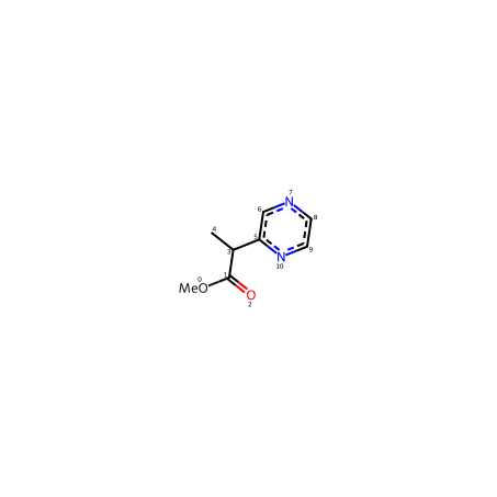 COC(=O)C(C)c1cnccn1